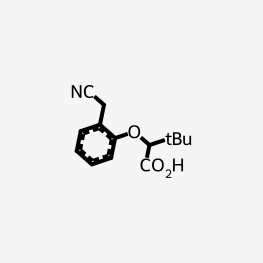 CC(C)(C)C(Oc1ccccc1CC#N)C(=O)O